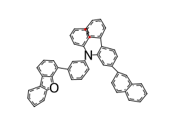 c1ccc(-c2ccc(-c3ccc4ccccc4c3)cc2N(c2ccccc2)c2cccc(-c3cccc4c3oc3ccccc34)c2)cc1